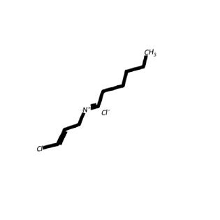 CCCCCC=[N+]CC=CCl.[Cl-]